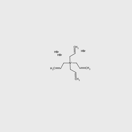 Br.Br.Br.C=CC[N+](CC=C)(CC=C)CC=C